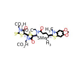 CS/C(=c1/s/c(=C2/SC(=S)N(CC(=O)O)C2=O)n(CC(=O)O)c1=O)N(CC(=O)O)C(=O)C=C/C(C)=C1/Sc2cc3c(cc2N1C)OCO3